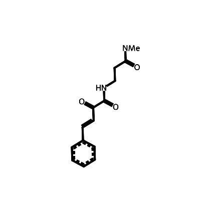 CNC(=O)CCNC(=O)C(=O)/C=C/c1ccccc1